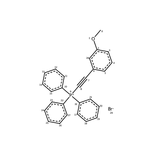 COc1cccc(C#C[P+](c2ccccc2)(c2ccccc2)c2ccccc2)c1.[Br-]